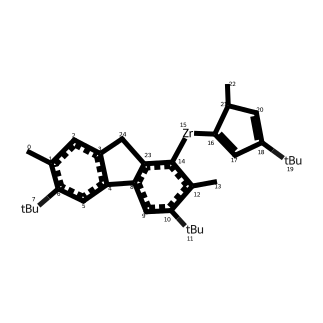 Cc1cc2c(cc1C(C)(C)C)-c1cc(C(C)(C)C)c(C)[c]([Zr][C]3=CC(C(C)(C)C)=CC3C)c1C2